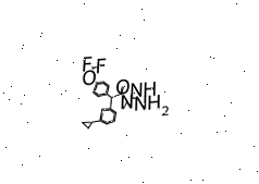 CN(C(=N)N)C(=O)C(c1ccc(OC(F)F)cc1)c1cccc(C2CC2)c1